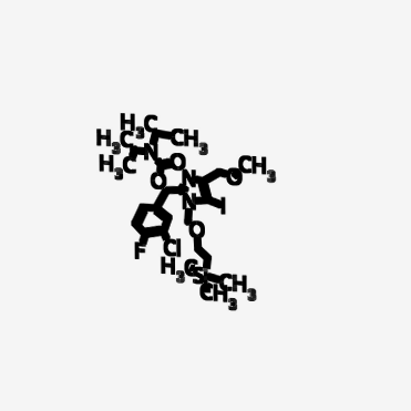 COCc1nc(C(OC(=O)N(C(C)C)C(C)C)c2ccc(F)c(Cl)c2)n(COCC[Si](C)(C)C)c1I